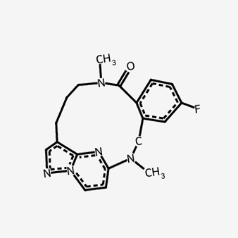 CN1CCCc2cnn3ccc(nc23)N(C)Cc2cc(F)ccc2C1=O